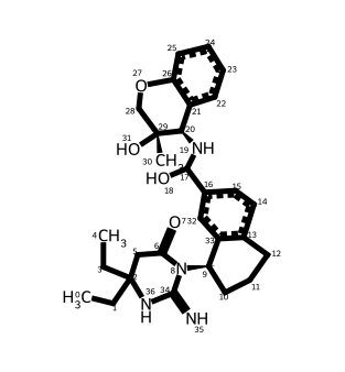 CCC1(CC)CC(=O)N([C@@H]2CCCc3ccc(C(O)N[C@@H]4c5ccccc5OC[C@@]4(C)O)cc32)C(=N)N1